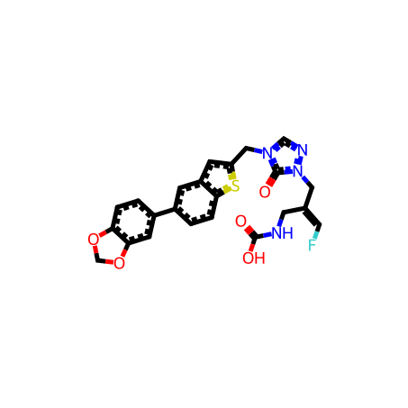 O=C(O)NC/C(=C\F)Cn1ncn(Cc2cc3cc(-c4ccc5c(c4)OCO5)ccc3s2)c1=O